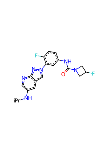 CC(C)Nc1cnc2nn(-c3cc(NC(=O)N4CC(F)C4)ccc3F)cc2c1